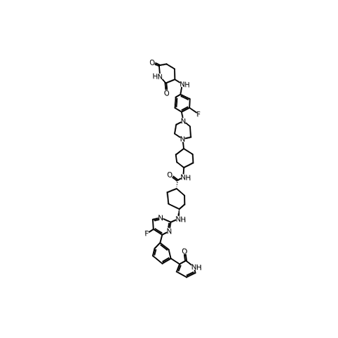 O=C1CCC(Nc2ccc(N3CCN(C4CCC(NC(=O)[C@H]5CC[C@H](Nc6ncc(F)c(-c7cccc(-c8ccc[nH]c8=O)c7)n6)CC5)CC4)CC3)c(F)c2)C(=O)N1